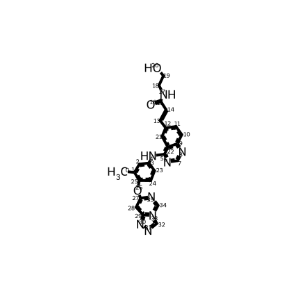 Cc1cc(Nc2ncnc3ccc(/C=C/C(=O)NCCO)cc23)ccc1Oc1cc2nncn2cn1